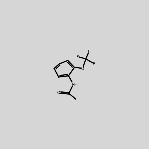 CC(=O)Nc1ccccc1OC(F)(F)F